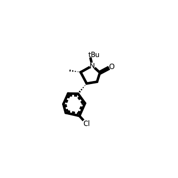 C[C@H]1[C@@H](c2cccc(Cl)c2)CC(=O)N1C(C)(C)C